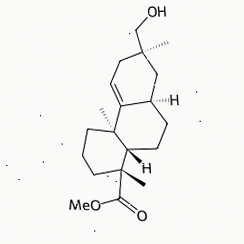 COC(=O)[C@]1(C)CCC[C@@]2(C)C3=CC[C@@](C)(CO)C[C@H]3CC[C@H]12